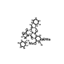 COc1cc(C(=O)C(OC2=Cc3ccccc3C2)C(=O)N2C(=O)OC[C@H]2Cc2ccccc2)cc(OC)c1C